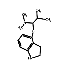 CC(C)C(Oc1cccc2c1CCN2)N(C)C